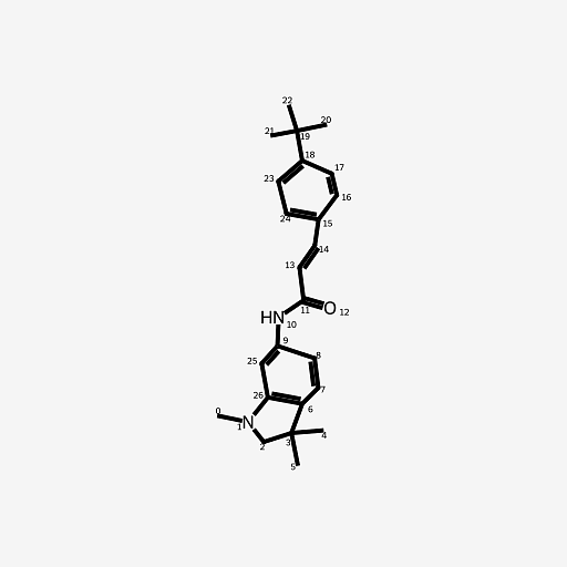 CN1CC(C)(C)c2ccc(NC(=O)C=Cc3ccc(C(C)(C)C)cc3)cc21